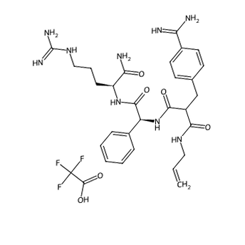 C=CCNC(=O)C(Cc1ccc(C(=N)N)cc1)C(=O)N[C@H](C(=O)N[C@@H](CCCNC(=N)N)C(N)=O)c1ccccc1.O=C(O)C(F)(F)F